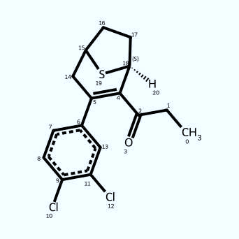 CCC(=O)C1=C(c2ccc(Cl)c(Cl)c2)CC2CC[C@@H]1S2